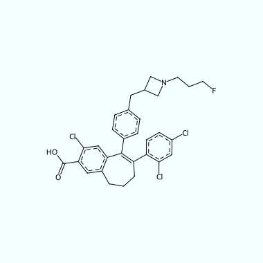 O=C(O)c1cc2c(cc1Cl)C(c1ccc(CC3CN(CCCF)C3)cc1)=C(c1ccc(Cl)cc1Cl)CCC2